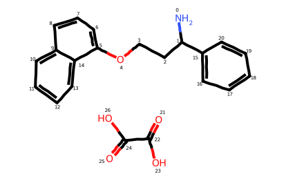 NC(CCOc1cccc2ccccc12)c1ccccc1.O=C(O)C(=O)O